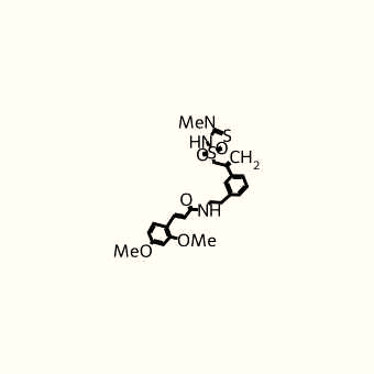 C=C(CS(=O)(=O)NC(=S)NC)c1cccc(CCNC(=O)C=Cc2ccc(OC)cc2OC)c1